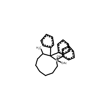 CC(=O)OP1(OC(C)=O)(c2ccccc2)CCCCCCC(C)C1(c1ccccc1)c1ccccc1